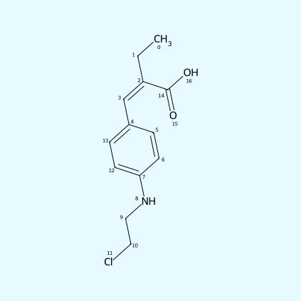 CCC(=Cc1ccc(NCCCl)cc1)C(=O)O